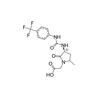 CC1C[C@H](NC(=O)Nc2ccc(C(F)(F)F)cc2)C(=O)N1CC(=O)O